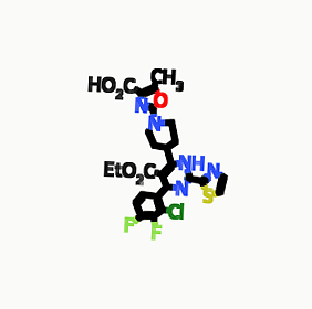 CCOC(=O)C1=C(C2CCN(c3nc(C(=O)O)c(C)o3)CC2)NC(c2nccs2)=NC1c1ccc(F)c(F)c1Cl